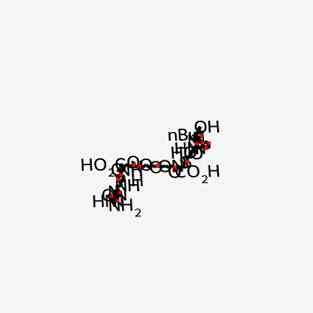 CCCCc1nc2c(NC(=O)OCCSSC[C@H](NC(=O)CCOCCOCCOCCNC(=O)CCC(NC(=O)c3ccc(NCc4cnc5nc(N)[nH]c(=O)c5n4)cc3)C(=O)O)C(=O)O)nc3ccccc3c2n1CC(C)(C)CO